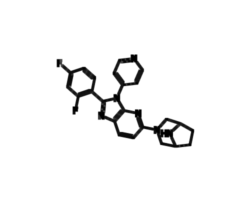 Fc1ccc(-c2nc3ccc(N4CC5CCC(C4)N5)nc3n2-c2ccncc2)c(F)c1